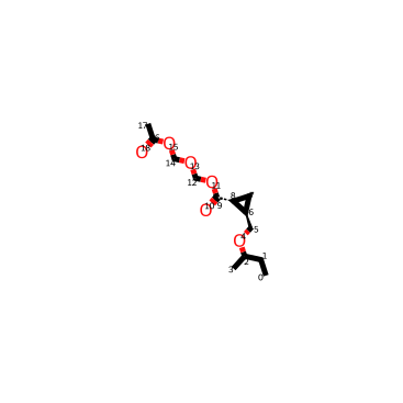 CCC(C)OC[C@@H]1C[C@H]1C(=O)OCOCOC(C)=O